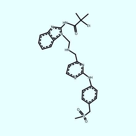 CCC(C)(C)C(=O)Nc1nc2ccccc2n1CNCc1ccnc(Nc2ccc(CS(C)(=O)=O)cc2)n1